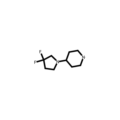 FC1(F)CCN(C2CC[N]CC2)C1